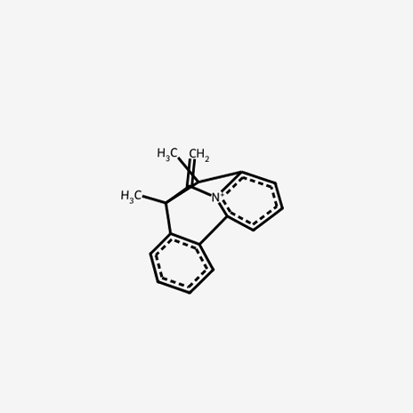 C=C1[n+]2c3cccc2C(C)C1(C)c1ccccc1-3